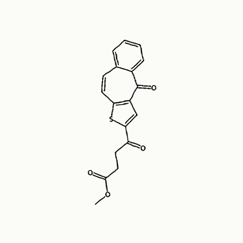 COC(=O)CCC(=O)c1cc2c(=O)c3ccccc3ccc2s1